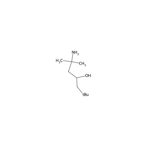 CC(C)(C)CC(O)CC(C)(C)N